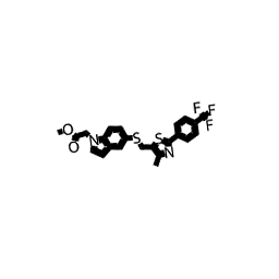 COC(=O)Cn1ccc2cc(SCc3sc(-c4ccc(C(F)(F)F)cc4)nc3C)ccc21